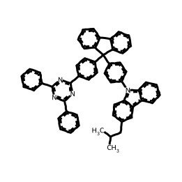 CC(C)Cc1ccc2c(c1)c1ccccc1n2-c1ccc(C2(c3ccc(-c4nc(-c5ccccc5)nc(-c5ccccc5)n4)cc3)c3ccccc3-c3ccccc32)cc1